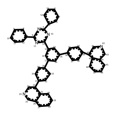 c1ccc(-c2nc(-c3ccccc3)nc(-c3cc(-c4ccc(-c5cncc6ccccc56)cc4)cc(-c4ccc(-c5cncc6ccccc56)cc4)c3)n2)cc1